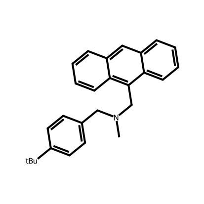 CN(Cc1ccc(C(C)(C)C)cc1)Cc1c2ccccc2cc2ccccc12